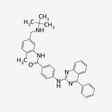 Cc1ccc(CNC(C)(C)C)cc1NC(=O)c1ccc(Nc2nc(-c3ccccc3)c3ccccc3n2)cc1